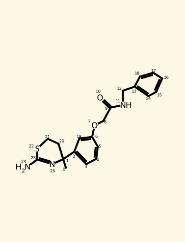 CC1(c2cccc(OCC(=O)NCc3ccccc3)c2)CCSC(N)=N1